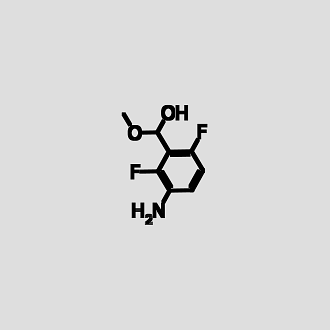 COC(O)c1c(F)ccc(N)c1F